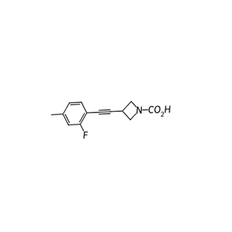 Cc1ccc(C#CC2CN(C(=O)O)C2)c(F)c1